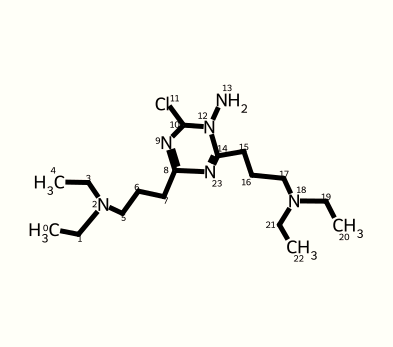 CCN(CC)CCCC1=NC(Cl)N(N)C(CCCN(CC)CC)=N1